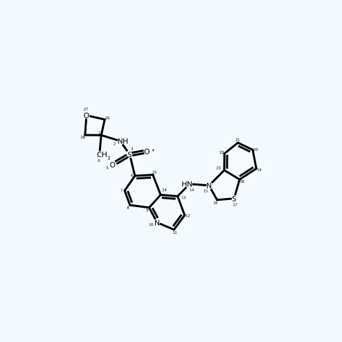 CC1(NS(=O)(=O)c2ccc3nccc(NN4CSc5ccccc54)c3c2)COC1